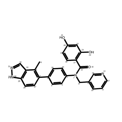 Cc1c(-c2ccc(N(Cc3cccnc3)C(=O)c3ccc(O)cc3O)cc2)ccc2[nH]ncc12